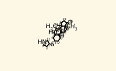 C=C1CC2CC(S[C@@H]3CCNC3)CC[C@]2(C)[C@@H]2CC[C@]3(C)C(=O)CC[C@H]3[C@H]12